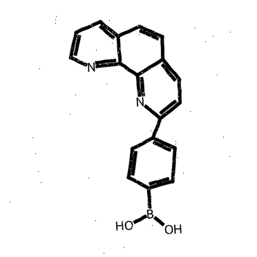 OB(O)c1ccc(-c2ccc3ccc4cccnc4c3n2)cc1